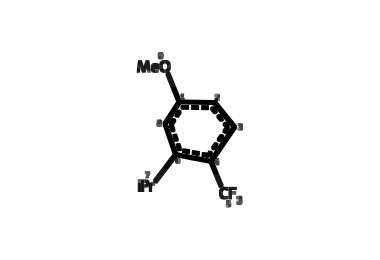 COc1ccc(C(F)(F)F)c(C(C)C)c1